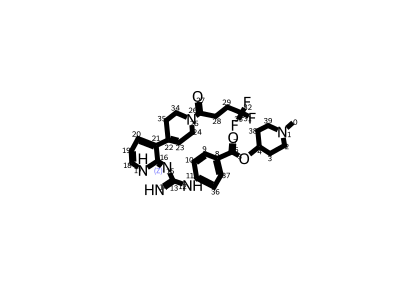 CN1CCC(OC(=O)c2ccc(NC(=N)/N=c3\[nH]cccc3C3=CCN(C(=O)CCC(F)(F)F)CC3)cc2)CC1